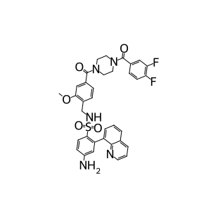 COc1cc(C(=O)N2CCN(C(=O)c3ccc(F)c(F)c3)CC2)ccc1CNS(=O)(=O)c1ccc(N)cc1-c1cccc2cccnc12